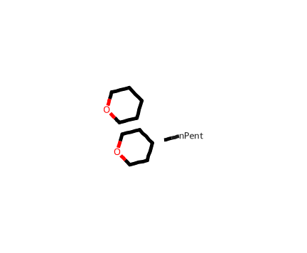 C1CCOCC1.C1CCOCC1.CCCCCC